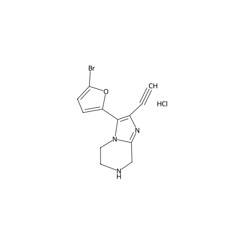 C#Cc1nc2n(c1-c1ccc(Br)o1)CCNC2.Cl